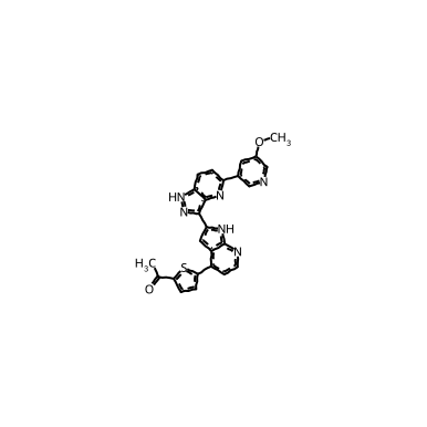 COc1cncc(-c2ccc3[nH]nc(-c4cc5c(-c6ccc(C(C)=O)s6)ccnc5[nH]4)c3n2)c1